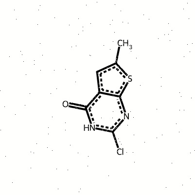 Cc1cc2c(=O)[nH]c(Cl)nc2s1